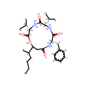 CCCCC(C)C1CC(=O)N[C@@H](Cc2ccccc2)C(=O)N[C@@H](C(C)C)C(=O)N[C@@H](C(C)C)C(=O)O1